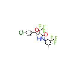 Cc1cc(NC(=O)c2cc(-c3ccc(Cl)cc3)oc2C(F)(F)F)cc(C(F)(F)F)c1